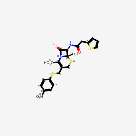 O=C(Cc1cccs1)N[C@@H]1C(=O)N2C(C(=O)O)=C(CSc3ccc([N+](=O)[O-])cc3)CS[C@@H]12